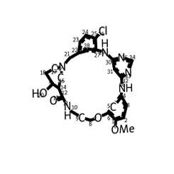 COc1ccc2cc1OCCCNC(=O)C1CN(CCC1O)Cc1ccc(Cl)c(c1)Nc1cc(ncn1)N2